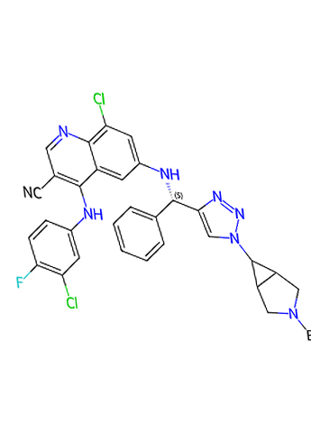 CCN1CC2C(C1)C2n1cc([C@@H](Nc2cc(Cl)c3ncc(C#N)c(Nc4ccc(F)c(Cl)c4)c3c2)c2ccccc2)nn1